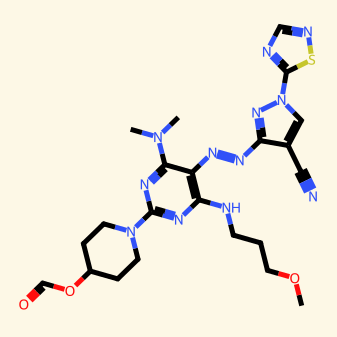 COCCCNc1nc(N2CCC(OC=O)CC2)nc(N(C)C)c1N=Nc1nn(-c2ncns2)cc1C#N